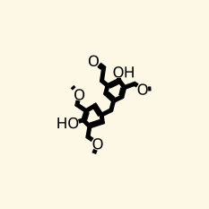 COCc1cc(Cc2cc(COC)c(O)c(COC)c2)cc(CC=O)c1O